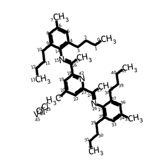 CCCCc1cc(C)cc(CCCC)c1N=C(C)c1cc(C)cc(C(C)=Nc2c(CCCC)cc(C)cc2CCCC)n1.[Cl-].[Cl-].[V+2]